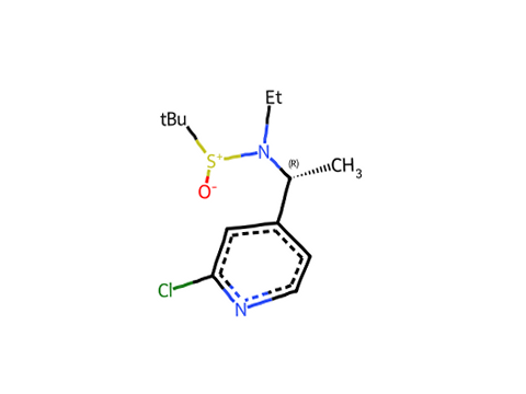 CCN([C@H](C)c1ccnc(Cl)c1)[S+]([O-])C(C)(C)C